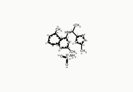 Cc1nc(NC(C)c2nnc(C)s2)c2c(C)cccc2n1.N[SH](=O)=O